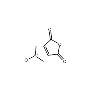 C[S+](C)[O-].O=C1C=CC(=O)O1